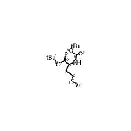 CC(=O)SCCC(NC(=O)OC(C)(C)C)C(=O)OC(C)(C)C